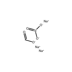 O=[C][O-].O=[Si]([O-])[O-].[Na+].[Na+].[Na+]